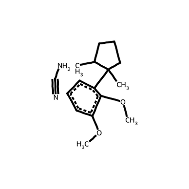 COc1cccc(C2(C)CCCC2C)c1OC.N#CN